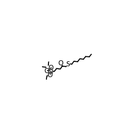 CCCCCCCCSCC(=O)CCC[Si](OCC)(OCC)OCC